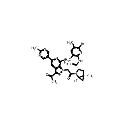 CC(=O)c1nn(CC(=O)N2[C@H](C(=O)Nc3nc(Br)c(C)cc3C)C[C@@]3(C)C[C@@H]23)c2c(C)nc(-c3cnc(C)nc3)cc12